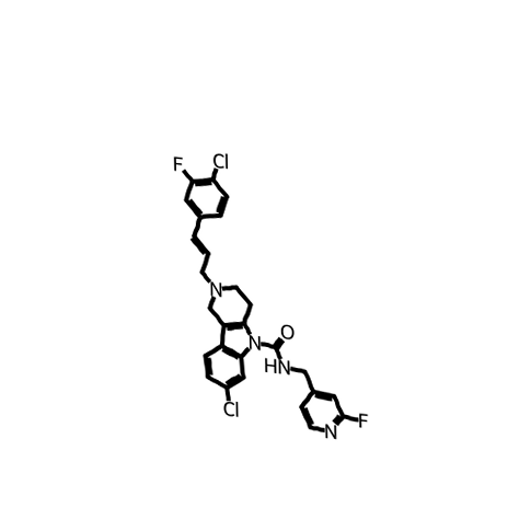 O=C(NCc1ccnc(F)c1)n1c2c(c3ccc(Cl)cc31)CN(CC=Cc1ccc(Cl)c(F)c1)CC2